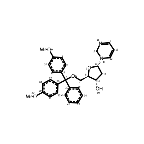 COc1ccc(C(OC[C@H]2O[C@H](N3C=CC=NC3)C[C@@H]2O)(c2ccccc2)c2ccc(OC)cc2)cc1